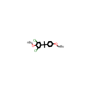 CCCCOc1c(Cl)cc(C(C)(C)c2ccc(OC[C@H](C)CC)cc2)cc1Cl